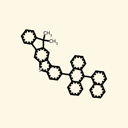 CC1(C)c2ccccc2-c2cc3sc4ccc(-c5c6ccccc6c(-c6cccc7ccccc67)c6ccccc56)cc4c3cc21